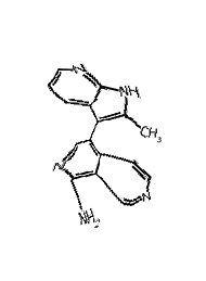 Cc1[nH]c2ncccc2c1-c1cnc(N)c2cnccc12